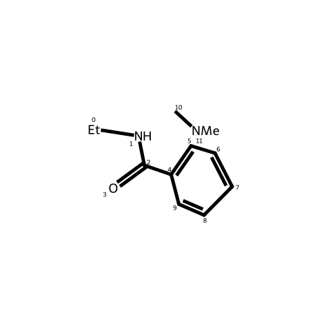 CCNC(=O)c1ccccc1.CNC